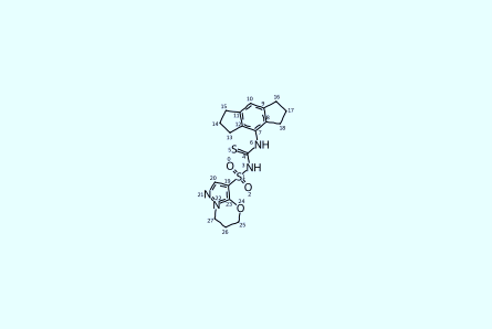 O=S(=O)(NC(=S)Nc1c2c(cc3c1CCC3)CCC2)c1cnn2c1OCCC2